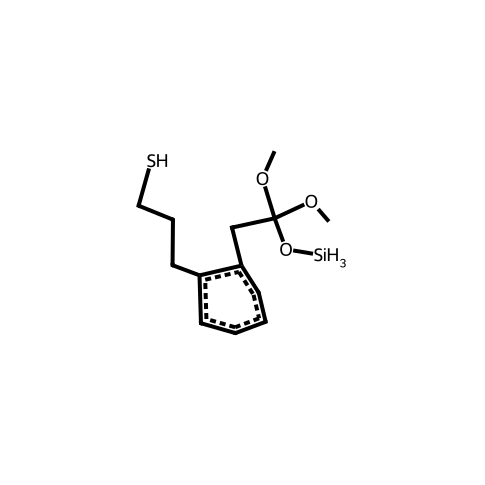 COC(Cc1ccccc1CCCS)(OC)O[SiH3]